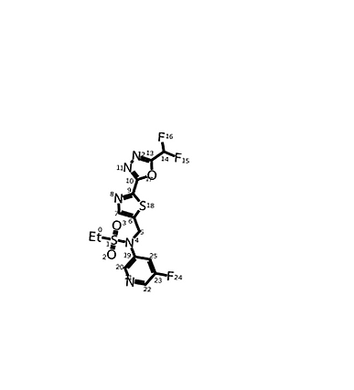 CCS(=O)(=O)N(Cc1cnc(-c2nnc(C(F)F)o2)s1)c1cncc(F)c1